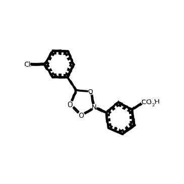 O=C(O)c1cccc(N2OOC(c3cccc(Cl)c3)O2)c1